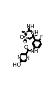 CN1C(=N)N[C@](C)(c2cc(NC(=O)c3cnc(O)cn3)ccc2F)CS1(=O)=O